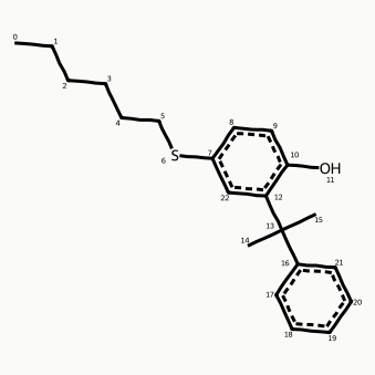 CCCCCCSc1ccc(O)c(C(C)(C)c2ccccc2)c1